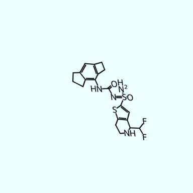 NS(=O)(=NC(=O)Nc1c2c(cc3c1CC3)CCC2)c1cc2c(s1)CCNC2C(F)F